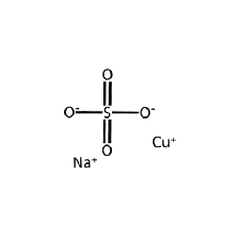 O=S(=O)([O-])[O-].[Cu+].[Na+]